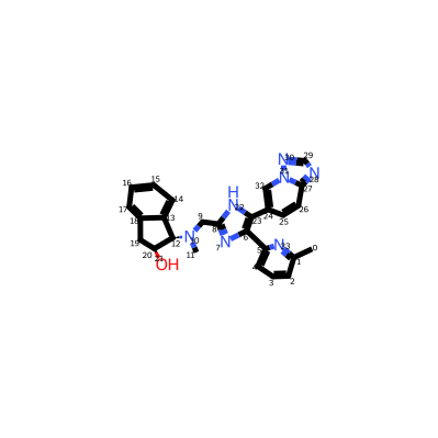 Cc1cccc(-c2nc(CN(C)[C@H]3c4ccccc4C[C@@H]3O)[nH]c2-c2ccc3ncnn3c2)n1